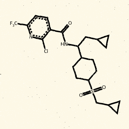 O=C(NC(CC1CC1)C1CCC(S(=O)(=O)CC2CC2)CC1)c1ccc(C(F)(F)F)nc1Cl